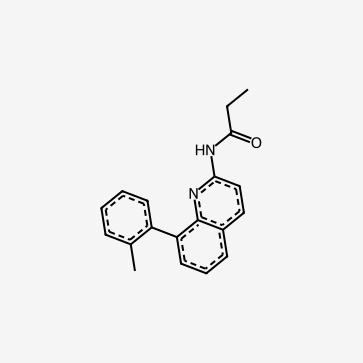 CCC(=O)Nc1ccc2cccc(-c3ccccc3C)c2n1